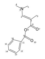 CC(=CN(C)C)C(=O)OC(=O)c1ccccc1